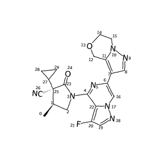 C[C@@H]1CN(c2nc(-c3cnn4c3COCC4)cn3ncc(F)c23)C(=O)[C@]1(C#N)C1CC1